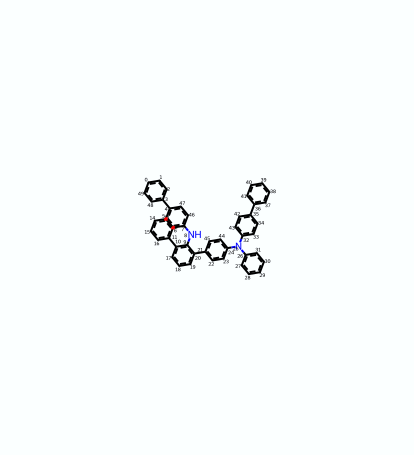 c1ccc(-c2ccc(Nc3c(-c4ccccc4)cccc3-c3ccc(N(c4ccccc4)c4ccc(-c5ccccc5)cc4)cc3)cc2)cc1